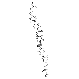 C=CC(=O)OCOc1ccc(-c2ccc(C(=O)Oc3ccc(OC(=O)c4ccc(-c5ccc(OCOC(=O)C=C)cc5)cc4)c(C)c3)cc2)cc1